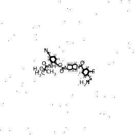 CC(C)(C)C(=O)Nc1cc(C#N)ccc1COC(=O)N1CC2CN(C(=O)c3ccc(SN)c(F)c3)CC2C1